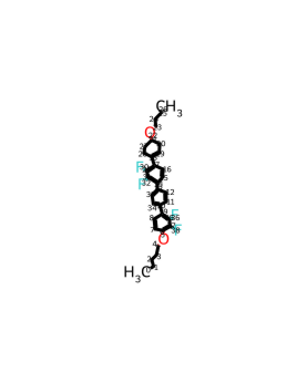 CCCCCOc1ccc(-c2ccc(-c3ccc(C4=CCC(OCCCC)CC4)c(F)c3F)cc2)c(F)c1F